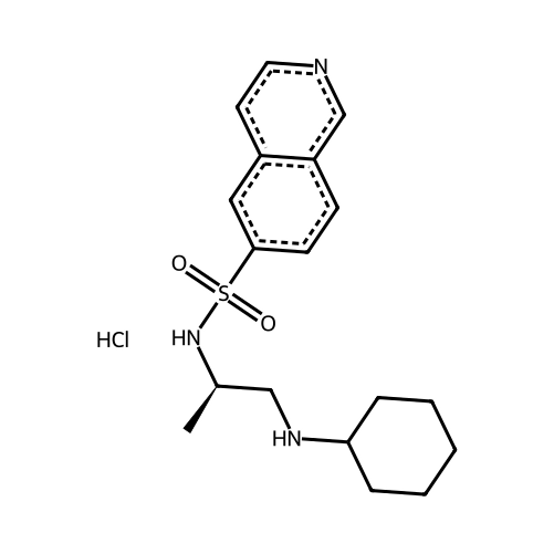 C[C@H](CNC1CCCCC1)NS(=O)(=O)c1ccc2cnccc2c1.Cl